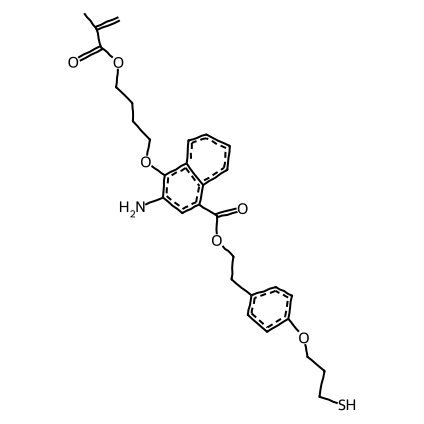 C=C(C)C(=O)OCCCCOc1c(N)cc(C(=O)OCCc2ccc(OCCCS)cc2)c2ccccc12